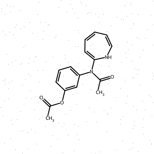 CC(=O)Oc1cccc(N(C(C)=O)C2=CC=CC=CN2)c1